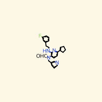 O=CN(Cc1cccnc1)c1ccc(C2=CCCC2)nc1NCCc1cccc(F)c1